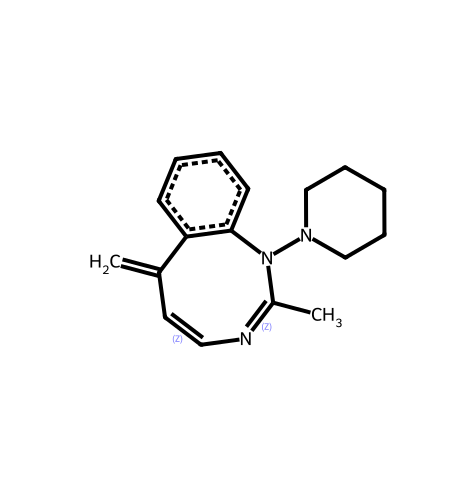 C=C1/C=C\N=C(\C)N(N2CCCCC2)c2ccccc21